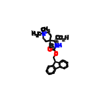 CCC1([C@@H](NC(=O)OCC2c3ccccc3-c3ccccc32)C(=O)O)CC[N+](C)(C)CC1